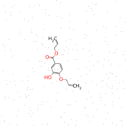 C=CCOC(=O)c1ccc(OCC=C)c(O)c1